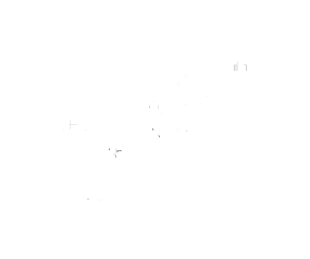 CC(C)Oc1ccc(S(=O)(=O)N2CC[C@@H](n3cc(CC=O)c4ccccc43)C2)cc1